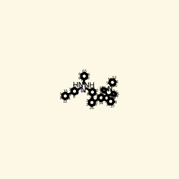 N=C(NC(/N=C/c1ccc(-c2ccccc2)cc1)c1cccc(-c2ccccc2-c2ccc3c(c2)-c2ccccc2C32c3ccccc3N(c3ccccc3)c3ccccc32)c1)c1ccccc1